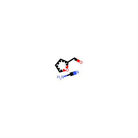 N#CN.O=Cc1ccco1